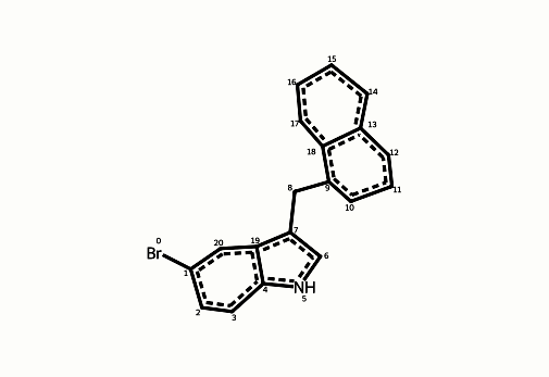 Brc1ccc2[nH]cc(Cc3cccc4ccccc34)c2c1